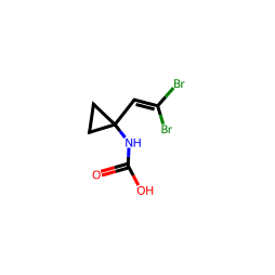 O=C(O)NC1(C=C(Br)Br)CC1